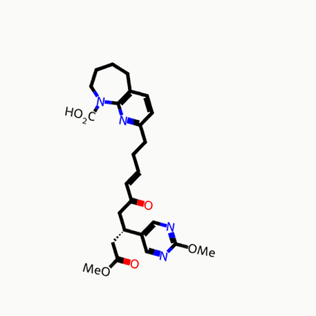 COC(=O)C[C@H](CC(=O)C=CCCc1ccc2c(n1)N(C(=O)O)CCCC2)c1cnc(OC)nc1